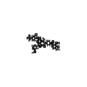 CCc1c(N2CCN(C(=O)c3ncc4c(c3O)OCC4)CC2)c(=O)n2nc(-c3ccnc(OC)c3)nc2n1CC(=O)Nc1ccc(C(F)(F)F)cc1Cl